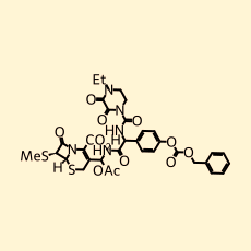 CCN1CCN(C(=O)NC(C(=O)NC(OC(C)=O)C2=C(C(=O)O)N3C(=O)[C@H](SC)[C@H]3SC2)c2ccc(OC(=O)OCc3ccccc3)cc2)C(=O)C1=O